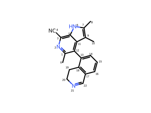 Cc1nc(C#N)c2[nH]c(C)c(C)c2c1-c1cccc2c1CCN=C2